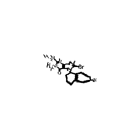 Cn1c(N)nc2nc(Br)n(C3CCCc4cc(Br)ccc43)c2c1=O